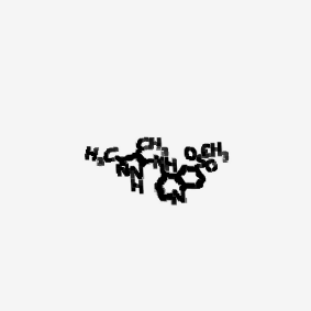 Cc1n[nH]c(Nc2ccnc3ccc(S(C)(=O)=O)cc23)c1C